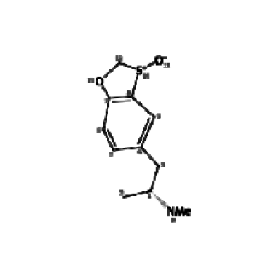 CN[C@H](C)Cc1ccc2c(c1)[S+]([O-])CO2